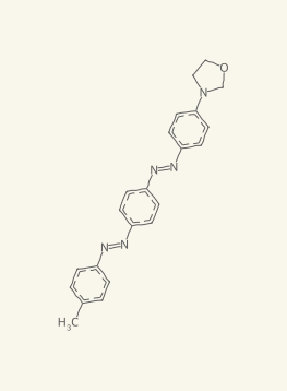 Cc1ccc(N=Nc2ccc(N=Nc3ccc(N4CCOC4)cc3)cc2)cc1